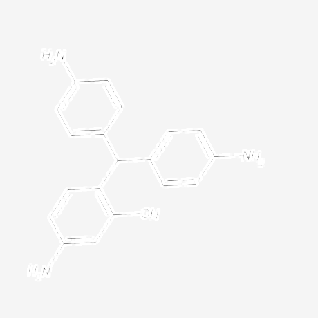 Nc1ccc(C(c2ccc(N)cc2)c2ccc(N)cc2O)cc1